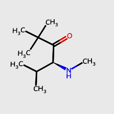 CN[C@H](C(=O)C(C)(C)C)C(C)C